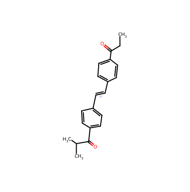 CCC(=O)c1ccc(/C=C/c2ccc(C(=O)C(C)C)cc2)cc1